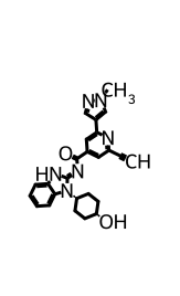 C#Cc1cc(C(=O)/N=c2\[nH]c3ccccc3n2[C@H]2CC[C@@H](O)CC2)cc(-c2cnn(C)c2)n1